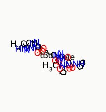 CNC(=O)OC(C)C(=O)NC(C(=O)N1C[C@@H](Oc2cnc(N3CCC(CCCOc4cc5ncnc(Nc6n[nH]c(C)c6C)c5cc4S(=O)(=O)C(C)(C)C)CC3)nc2)C[C@H]1C(=O)N[C@@H]1CCCc2ccccc21)C1CCCCC1